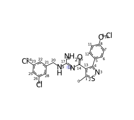 Cc1snc(-c2ccc(OCl)cc2)c1C(=O)/N=C(\N)NCc1cc(Cl)cc(Cl)c1